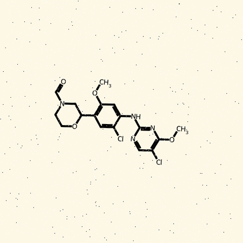 COc1cc(Nc2ncc(Cl)c(OC)n2)c(Cl)cc1C1CN(C=O)CCO1